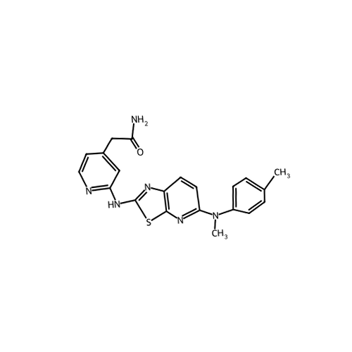 Cc1ccc(N(C)c2ccc3nc(Nc4cc(CC(N)=O)ccn4)sc3n2)cc1